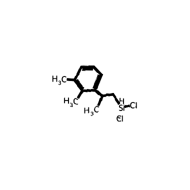 Cc1cccc(C(C)C[SiH](Cl)Cl)c1C